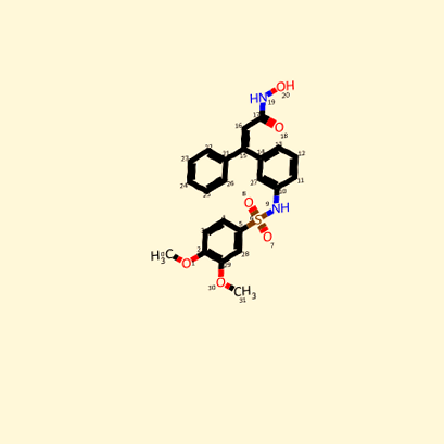 COc1ccc(S(=O)(=O)Nc2cccc(/C(=C\C(=O)NO)c3ccccc3)c2)cc1OC